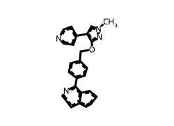 Cn1cc(-c2ccncc2)c(OCc2ccc(-c3nccc4ccccc34)cc2)n1